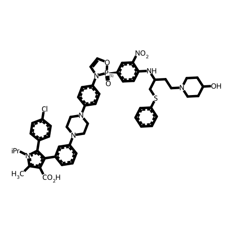 Cc1c(C(=O)O)c(-c2cccc(N3CCN(c4ccc(N5C=CO[P@@]5(=O)c5ccc(NC(CCN6CCC(O)CC6)CSc6ccccc6)c([N+](=O)[O-])c5)cc4)CC3)c2)c(-c2ccc(Cl)cc2)n1C(C)C